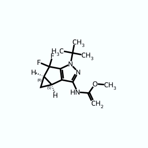 C=C(Nc1nn(C(C)(C)C)c2c1[C@H]1C[C@H]1C2(F)F)OC